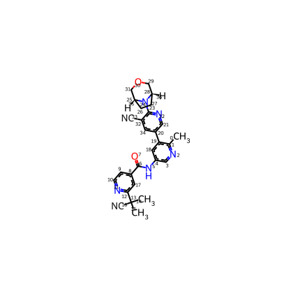 Cc1ncc(NC(=O)c2ccnc(C(C)(C)C#N)c2)cc1-c1cnc(N2[C@@H]3CC[C@H]2COC3)c(C#N)c1